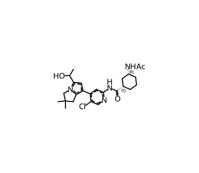 CC(=O)N[C@@H]1CCC[C@H](C(=O)Nc2cc(-c3cc(C(C)O)n4c3CC(C)(C)C4)c(Cl)cn2)C1